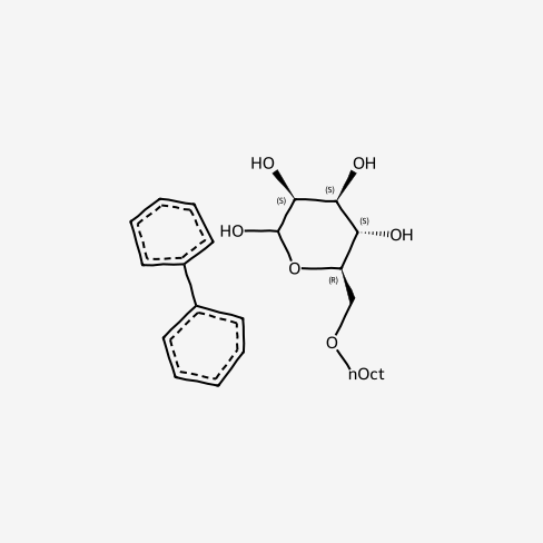 CCCCCCCCOC[C@H]1OC(O)[C@@H](O)[C@@H](O)[C@@H]1O.c1ccc(-c2ccccc2)cc1